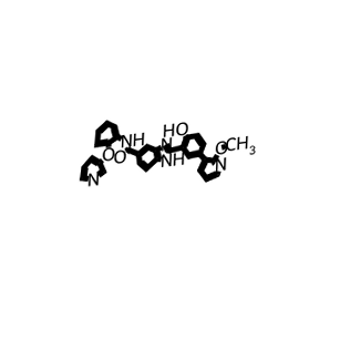 COc1ncccc1-c1ccc(O)c(-c2nc3cc(C(=O)Nc4ccccc4Oc4cccnc4)ccc3[nH]2)c1